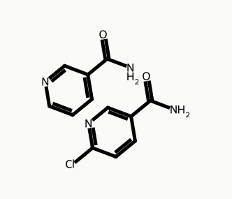 NC(=O)c1ccc(Cl)nc1.NC(=O)c1cccnc1